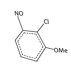 COc1cccc(N=O)c1Cl